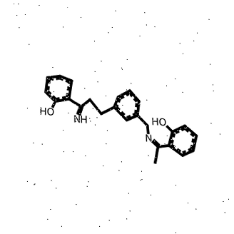 CC(=NCc1cccc(CCC(=N)c2ccccc2O)c1)c1ccccc1O